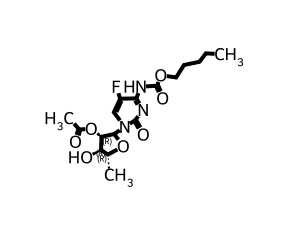 CCCCCOC(=O)Nc1nc(=O)n(C2O[C@H](C)[C@@H](O)[C@H]2OC(C)=O)cc1F